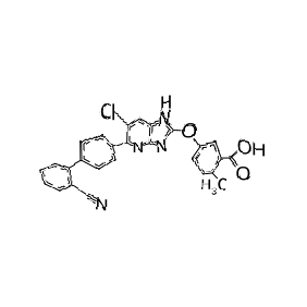 Cc1ccc(Oc2nc3nc(-c4ccc(-c5ccccc5C#N)cc4)c(Cl)cc3[nH]2)cc1C(=O)O